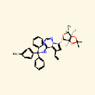 C=Cc1cc([C@@H]2O[C@H](CC)[C@H]3OC(C)(C)O[C@]32C)n2ncnc(NC(c3ccccc3)(c3ccccc3)c3ccc(OC)cc3)c12